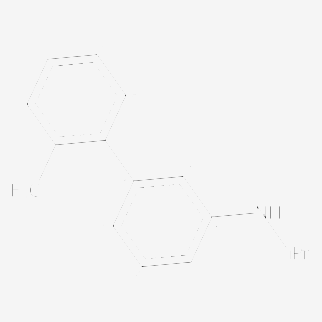 CC(C)Nc1cccc(-c2ccccc2C(F)(F)F)c1